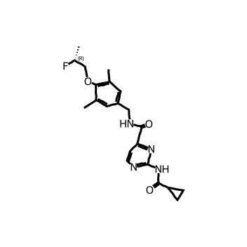 Cc1cc(CNC(=O)c2ccnc(NC(=O)C3CC3)n2)cc(C)c1OC[C@@H](C)F